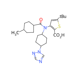 CC1CCC(C(=O)N(c2cc(C(C)(C)C)sc2C(=O)O)C2CCC(n3cncn3)CC2)CC1